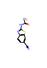 CC(=O)Nc1nc2ccc(C#N)cc2s1